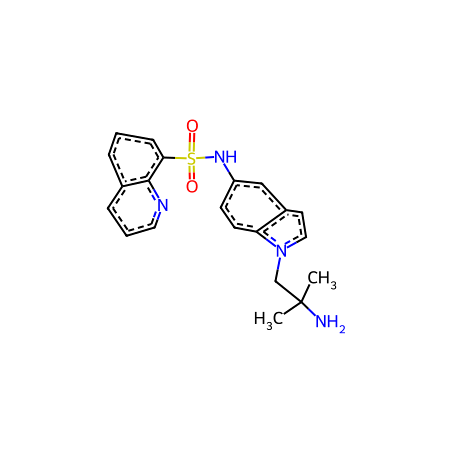 CC(C)(N)Cn1ccc2cc(NS(=O)(=O)c3cccc4cccnc34)ccc21